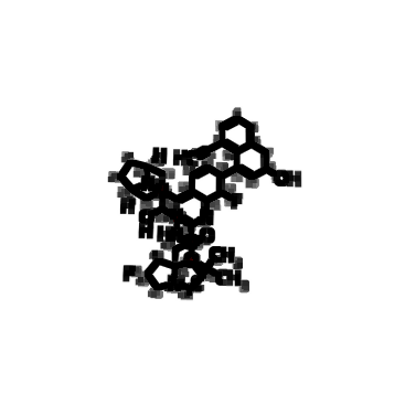 C#Cc1cccc2cc(O)cc(-c3ccc4c(N5C[C@H]6CC[C@@H](C5)N6C[C@H](O)CNC(=O)OC(C)(C)C)nc(OC[C@@]56CCCN5C[C@H](F)C6)nc4c3F)c12